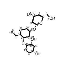 O=N[C@@H]1C[C@H](CO)O[C@H](O[C@H]2CO[C@H](CO)[C@@H](O[C@H]3OC[C@@H](O)C[C@H]3O)C2)C1